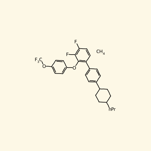 C.CCCC1CCC(c2ccc(-c3ccc(F)c(F)c3Oc3ccc(OC(F)(F)F)cc3)cc2)CC1